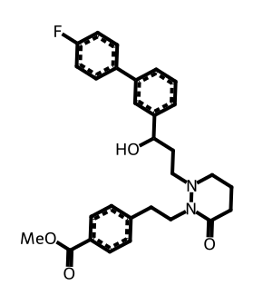 COC(=O)c1ccc(CCN2C(=O)CCCN2CCC(O)c2cccc(-c3ccc(F)cc3)c2)cc1